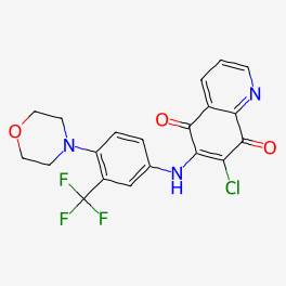 O=C1C(Nc2ccc(N3CCOCC3)c(C(F)(F)F)c2)=C(Cl)C(=O)c2ncccc21